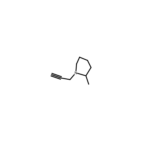 C#CCN1CCCCC1C